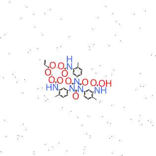 C=CC(=O)OCOC(=O)Nc1cc(-n2c(=O)n(-c3ccc(C)c(NC(=O)O)c3)c(=O)n(-c3ccc(C)c(NC(=O)OC)c3)c2=O)ccc1C